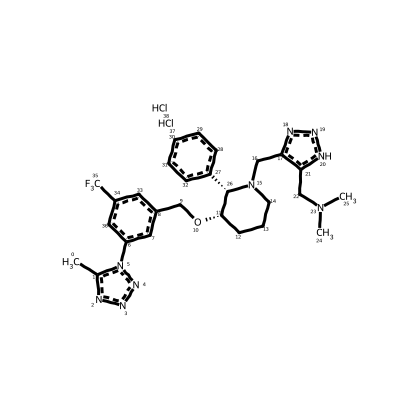 Cc1nnnn1-c1cc(CO[C@H]2CCCN(Cc3nn[nH]c3CN(C)C)[C@H]2c2ccccc2)cc(C(F)(F)F)c1.Cl.Cl